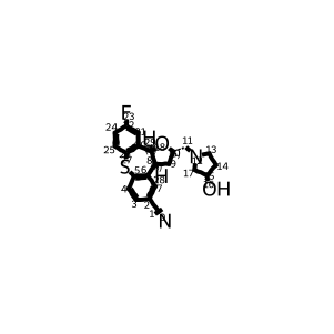 N#Cc1ccc2c(c1)[C@H]1C[C@@H](CN3CCC(O)C3)O[C@H]1c1cc(F)ccc1S2